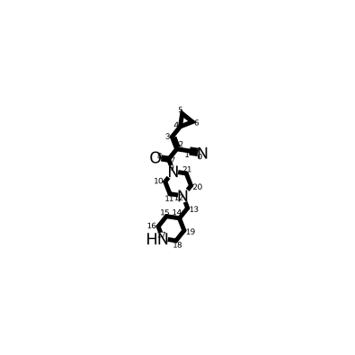 N#CC(=CC1CC1)C(=O)N1CCN(CC2CCNCC2)CC1